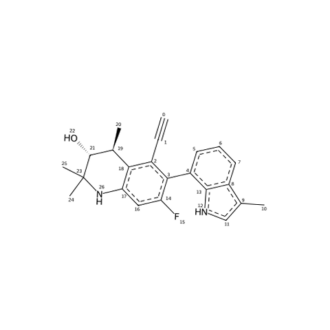 C#Cc1c(-c2cccc3c(C)c[nH]c23)c(F)cc2c1[C@H](C)[C@@H](O)C(C)(C)N2